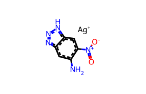 Nc1cc2nn[nH]c2cc1[N+](=O)[O-].[Ag+]